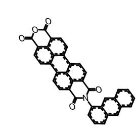 O=C1OC(=O)c2ccc3c4ccc5c6c(ccc(c7ccc1c2c73)c64)C(=O)N(c1cccc2cc3ccccc3cc12)C5=O